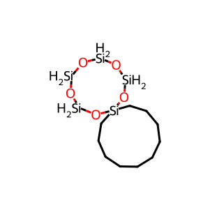 C1CCCCC[Si]2(CCCC1)O[SiH2]O[SiH2]O[SiH2]O[SiH2]O2